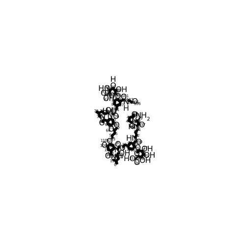 C=C1C[C@H]2C(O)N(C(=O)OCc3ccc(O[C@@H]4O[C@H](C(=O)O)[C@@H](O)[C@H](O)[C@H]4O)c(C(=O)NCCCNC(=O)[C@H](CN)N4C(=O)C=CC4=O)c3)c3cc(OCCCCCOc4cc5c(cc4OC)C(=O)N4CC(=C)C[C@H]4C(O)N5C(=O)OCc4ccc(O[C@@H]5O[C@H](C(=O)O)[C@@H](O)[C@H](O)[C@H]5O)c(C(=O)NCCOC)c4)c(OC)cc3C(=O)N2C1